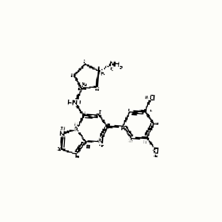 N[C@H]1CC[C@H](Nc2cc(-c3cc(Cl)cc(Cl)c3)nc3ccnn23)C1